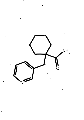 NC(=O)C1([CH]c2cccnc2)CCCCC1